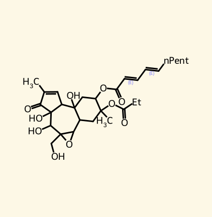 CCCCC/C=C/C=C/C(=O)OC1CC2(O)C(CC1(C)OC(=O)CC)C1OC1(CO)C(O)C1(O)C(=O)C(C)=CC21